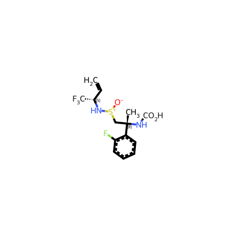 C=C[C@H](N[S+]([O-])C[C@](C)(NC(=O)O)c1ccccc1F)C(F)(F)F